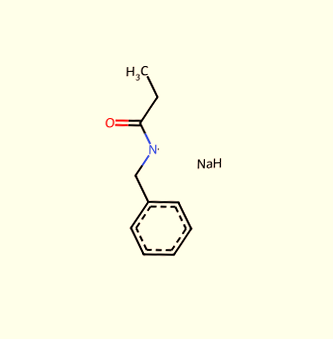 CCC(=O)[N]Cc1ccccc1.[NaH]